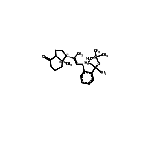 CC(=CCc1ccccc1C(C)(C)O[Si](C)(C)C)[C@H]1CCC2C(=O)CCC[C@@]21C